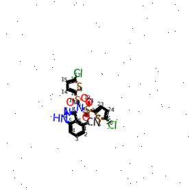 N#Cc1cccc2[nH]nc(N(S(=O)(=O)c3ccc(Cl)s3)S(=O)(=O)c3ccc(Cl)s3)c12